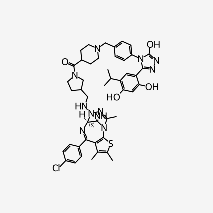 CC1=NN(NCC2CCN(C(=O)C3CCN(Cc4ccc(-n5c(O)nnc5-c5cc(C(C)C)c(O)cc5O)cc4)CC3)C2)[C@@H]2N=C(c3ccc(Cl)cc3)c3c(sc(C)c3C)N1C2=N